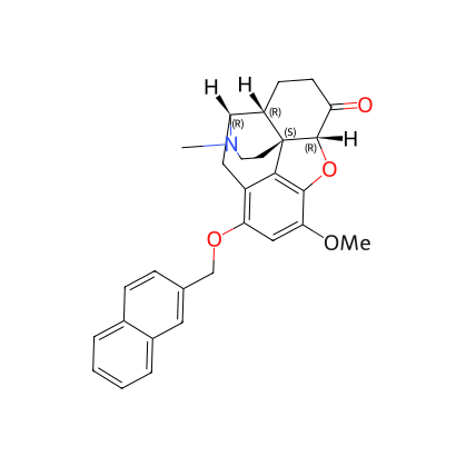 COc1cc(OCc2ccc3ccccc3c2)c2c3c1O[C@H]1C(=O)CC[C@H]4[C@@H](C2)N(C)CC[C@]314